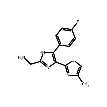 Cc1csc(-c2nc(CN)[nH]c2-c2ccc(F)cc2)n1